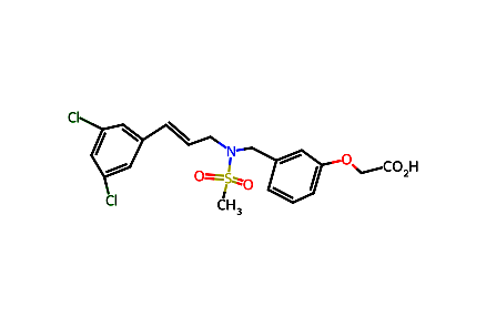 CS(=O)(=O)N(CC=Cc1cc(Cl)cc(Cl)c1)Cc1cccc(OCC(=O)O)c1